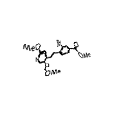 COCOc1cnc(OC)cc1C=Cc1ccc(C(=O)OC)cc1Br